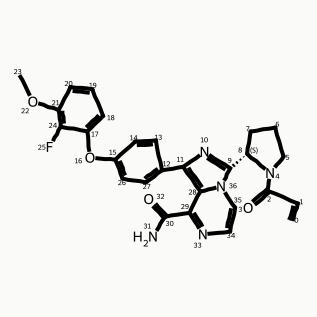 C=CC(=O)N1CCC[C@H]1c1nc(-c2ccc(Oc3cccc(OC)c3F)cc2)c2c(C(N)=O)nccn12